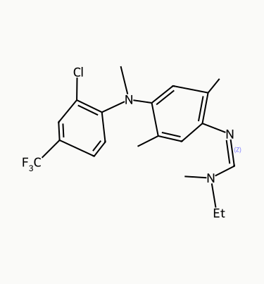 CCN(C)/C=N\c1cc(C)c(N(C)c2ccc(C(F)(F)F)cc2Cl)cc1C